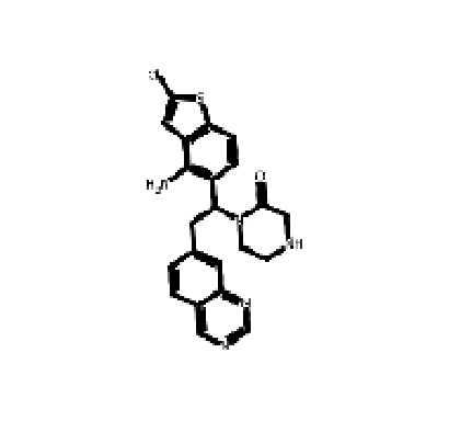 Nc1c(C(Cc2ccc3cncnc3c2)N2CCNCC2=O)ccc2sc(Cl)cc12